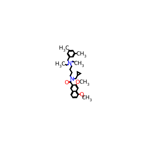 CC[N+](CC)(CCCCN(CC1CC1)C(=O)c1cc2cccc(OC)c2cc1OC)Cc1cc(C)cc(C)c1